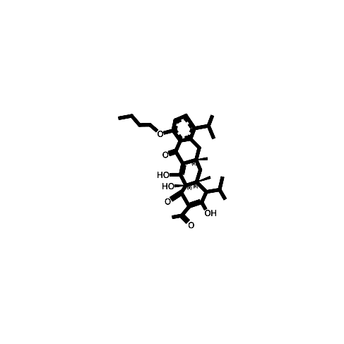 CCCCOc1ccc(C(C)C)c2c1C(=O)C1=C(O)[C@@]3(O)C(=O)C(C(C)=O)=C(O)C(C(C)C)[C@@]3(C)C[C@@]1(C)C2